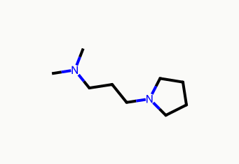 CN(C)CCCN1CCCC1